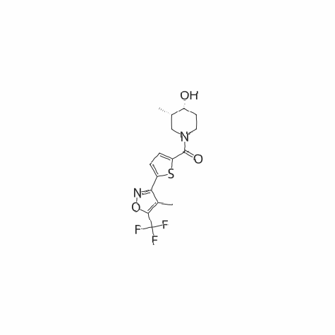 Cc1c(-c2ccc(C(=O)N3CC[C@@H](O)[C@@H](C)C3)s2)noc1C(F)(F)F